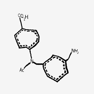 CC(=O)N(c1ccc(C(=O)O)cc1)c1cccc(N)c1